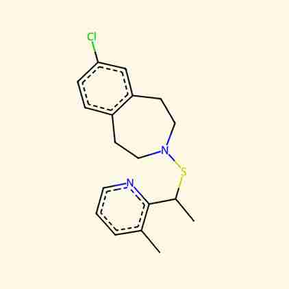 Cc1cccnc1C(C)SN1CCc2ccc(Cl)cc2CC1